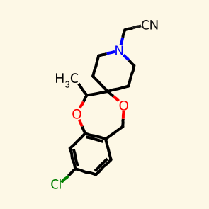 CC1Oc2cc(Cl)ccc2COC12CCN(CC#N)CC2